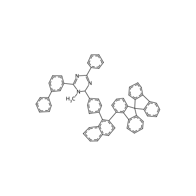 CN1C(c2cccc(-c3ccccc3)c2)=NC(c2ccccc2)=NC1c1ccc(-c2c(-c3cccc4c3-c3ccccc3C43c4ccccc4-c4ccccc43)ccc3ccccc23)cc1